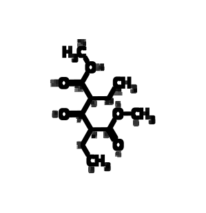 CCC(C(=O)OC)C(=O)C(CC)C(=O)OC